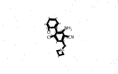 N#Cc1c(CN2CCC2)cc(Cl)c(-c2ccccc2Cl)c1N